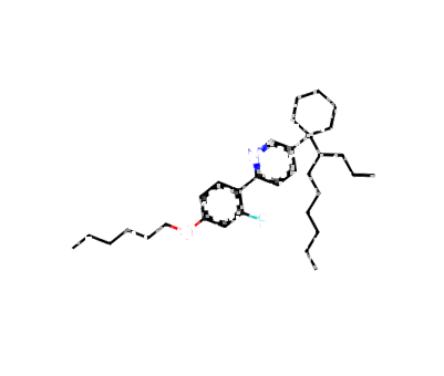 CCCCCCOc1ccc(-c2ccc(C3(C(CCC)CCCCCC)CCCCC3)cn2)c(F)c1